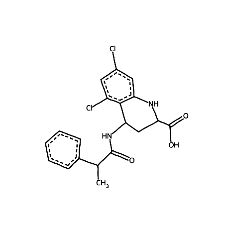 CC(C(=O)NC1CC(C(=O)O)Nc2cc(Cl)cc(Cl)c21)c1ccccc1